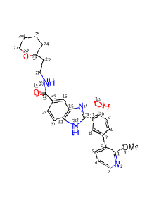 COc1ncccc1-c1ccc(O)c(-c2nc3cc(C(=O)NCCC4CCCCO4)ccc3[nH]2)c1